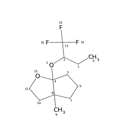 CCC(OC12CCCC1(C)CCO2)C(F)(F)F